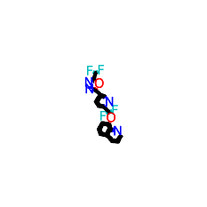 FC(F)c1nnc(-c2ccc(C(F)(F)Oc3cccc4cccnc34)nc2)o1